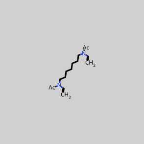 C=CN(CCCCCCCN(C=C)C(C)=O)C(C)=O